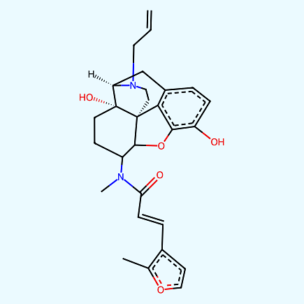 C=CCN1CC[C@]23c4c5ccc(O)c4OC2C(N(C)C(=O)/C=C/c2ccoc2C)CC[C@@]3(O)[C@H]1C5